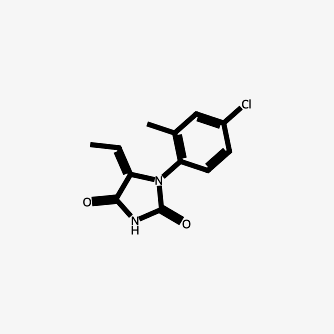 CC=C1C(=O)NC(=O)N1c1ccc(Cl)cc1C